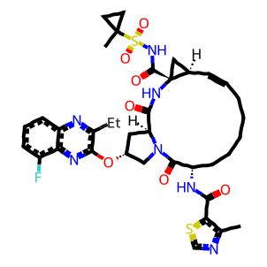 CCc1nc2cccc(F)c2nc1O[C@@H]1C[C@H]2C(=O)N[C@]3(C(=O)NS(=O)(=O)C4(C)CC4)C[C@H]3C=CCCCCC[C@H](NC(=O)c3scnc3C)C(=O)N2C1